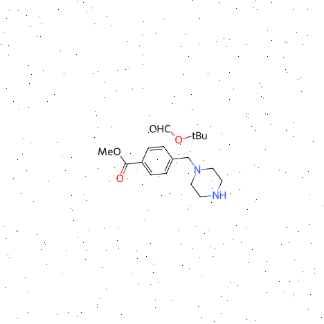 CC(C)(C)OC=O.COC(=O)c1ccc(CN2CCNCC2)cc1